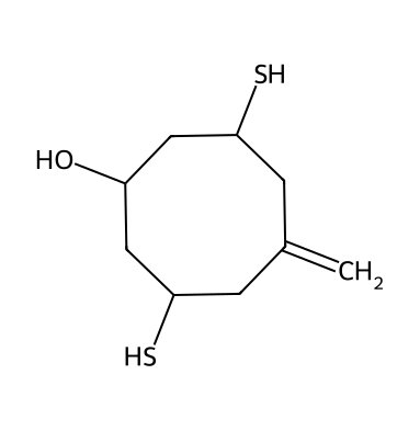 C=C1CC(S)CC(O)CC(S)C1